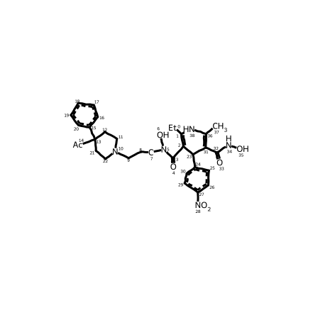 CCC1=C(C(=O)N(O)CCCN2CCC(C(C)=O)(c3ccccc3)CC2)C(c2ccc([N+](=O)[O-])cc2)C(C(=O)NO)=C(C)N1